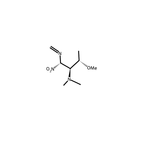 C=N[C@H]([C@@H]([C@H](C)OC)N(C)C)[N+](=O)[O-]